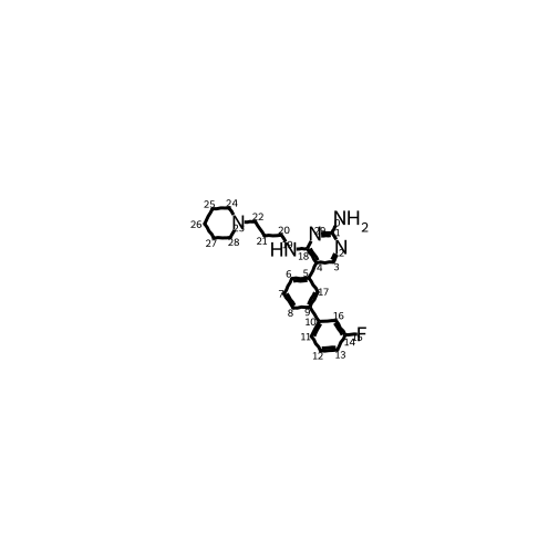 Nc1ncc(-c2cccc(-c3cccc(F)c3)c2)c(NCCCN2CCCCC2)n1